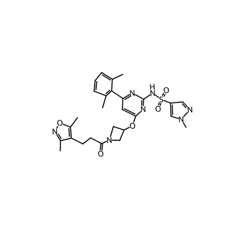 Cc1cccc(C)c1-c1cc(OC2CN(C(=O)CCc3c(C)noc3C)C2)nc(NS(=O)(=O)c2cnn(C)c2)n1